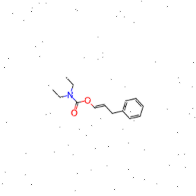 CCN(CC)C(=O)OC=CCc1ccccc1